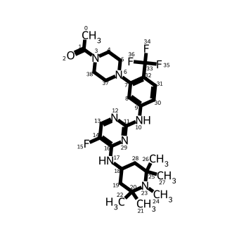 CC(=O)N1CCN(c2cc(Nc3ncc(F)c(NC4CC(C)(C)N(C)C(C)(C)C4)n3)ccc2C(F)(F)F)CC1